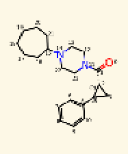 O=C([C@@H]1C[C@H]1c1ccccc1)N1CCN(C2CCCCCC2)CC1